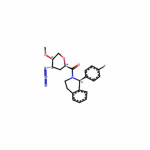 CO[C@H]1CO[C@@H](C(=O)N2CCc3ccccc3[C@@H]2c2ccc(F)cc2)C[C@@H]1N=[N+]=[N-]